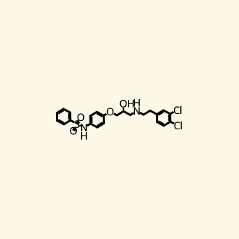 O=S(=O)(Nc1ccc(OC[C@@H](O)CNCCc2ccc(Cl)c(Cl)c2)cc1)c1ccccc1